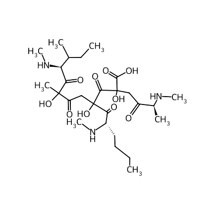 CCCC[C@H](NC)C(=O)C(O)(CC(=O)C(C)(O)C(=O)[C@@H](NC)C(C)CC)C(=O)C(O)(CC(=O)[C@H](C)NC)C(=O)O